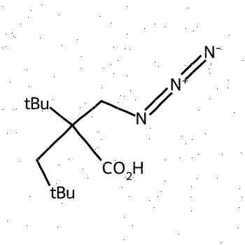 CC(C)(C)CC(CN=[N+]=[N-])(C(=O)O)C(C)(C)C